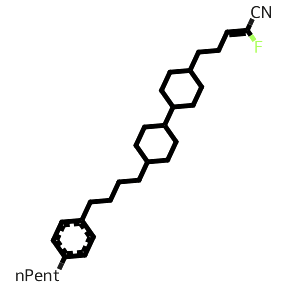 CCCCCc1ccc(CCCCC2CCC(C3CCC(CCC=C(F)C#N)CC3)CC2)cc1